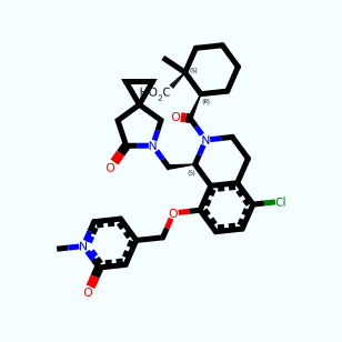 Cn1ccc(COc2ccc(Cl)c3c2[C@@H](CN2CC4(CC4)CC2=O)N(C(=O)[C@@H]2CCCC[C@]2(C)C(=O)O)CC3)cc1=O